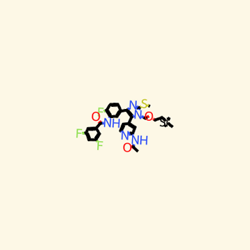 CSc1nc(-c2ccc(F)c(NC(=O)c3cc(F)cc(F)c3)c2)c(-c2ccnc(NC(C)=O)c2)n1COCC[Si](C)(C)C